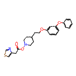 O=C(Cc1cscn1)ON1CCC(CCOc2cccc(Oc3ccccc3)c2)CC1